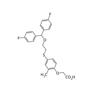 Cc1cc(SCCOC(c2ccc(F)cc2)c2ccc(F)cc2)ccc1OCC(=O)O